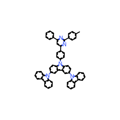 Cc1ccc(-c2nc(-c3ccccc3)cc(-c3ccc(-n4c5ccc(-n6c7ccccc7c7ccccc76)cc5c5cc(-n6c7ccccc7c7ccccc76)ccc54)cc3)n2)cc1